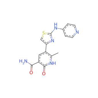 Cc1[nH]c(=O)c(C(N)=O)cc1-c1csc(Nc2ccncc2)n1